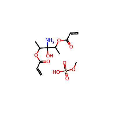 C=CC(=O)OC(C)C(N)(O)C(C)OC(=O)C=C.COS(=O)(=O)O